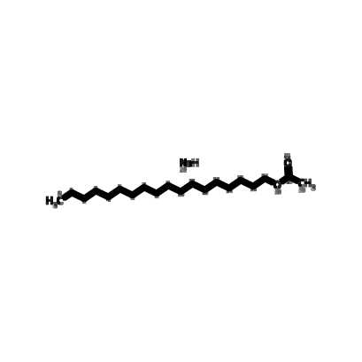 CCCCCCCCCCCCCCCCCCOC(C)=O.[NaH]